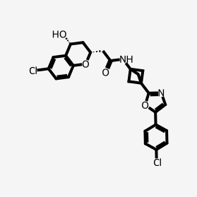 O=C(C[C@H]1C[C@@H](O)c2cc(Cl)ccc2O1)NC12CC(c3ncc(-c4ccc(Cl)cc4)o3)(C1)C2